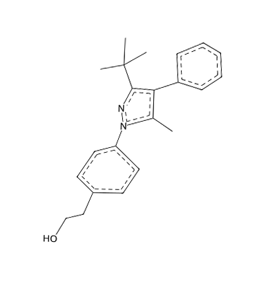 Cc1c(-c2ccccc2)c(C(C)(C)C)nn1-c1ccc(CCO)cc1